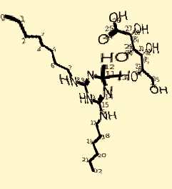 CCCCCCCCNC1=NC(C)(C)N=C(NCCCCCC)N1.O=C(O)[C@H](O)[C@@H](O)[C@H](O)[C@H](O)CO